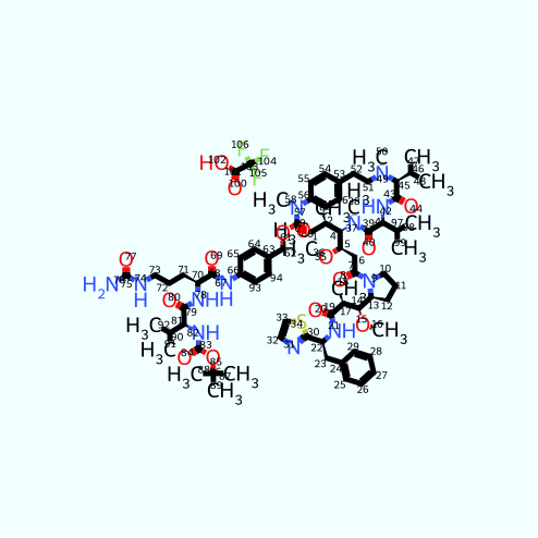 CC[C@H](C)[C@@H]([C@@H](CC(=O)N1CCC[C@H]1[C@H](OC)[C@@H](C)C(=O)N[C@@H](Cc1ccccc1)c1nccs1)OC)N(C)C(=O)[C@@H](NC(=O)[C@H](C(C)C)N(C)CCc1ccc(N(C)C(=O)OCc2ccc(NC(=O)[C@H](CCCNC(N)=O)NC(=O)[C@@H](NC(=O)OC(C)(C)C)C(C)C)cc2)cc1)C(C)C.O=C(O)C(F)(F)F